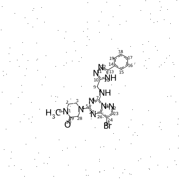 CN1CCN(c2nc(NCc3nnc(-c4ccccc4)[nH]3)n3ncc(Br)c3n2)CC1=O